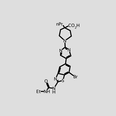 CCCC1(C(=O)O)CCN(c2ncc(-c3cc(Br)c4sc(NC(=O)NCC)nc4c3)cn2)CC1